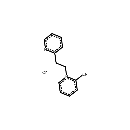 N#Cc1cccc[n+]1CCc1ccccn1.[Cl-]